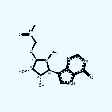 C[PH](=O)CO[C@@H]1[C@@H](O)[C@@H](O)[C@H](c2c[nH]c3c(=O)[nH]cnc23)N1P